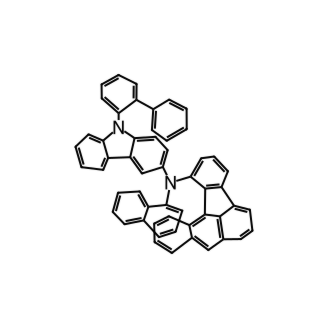 c1ccc(-c2ccccc2-n2c3ccccc3c3cc(N(c4cccc5c4-c4c6ccccc6cc6cccc-5c46)c4cccc5ccccc45)ccc32)cc1